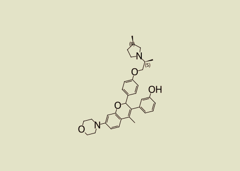 CC1=C(c2cccc(O)c2)C(c2ccc(OC[C@H](C)N3CC[C@@H](C)C3)cc2)Oc2cc(N3CCOCC3)ccc21